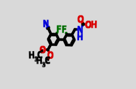 COC(OC)c1cc(C#N)c(F)c(-c2cccc(CNC(=O)O)c2F)c1